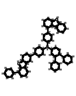 c1ccc(-c2ccc(N(c3ccc(-c4ccc5oc6c(-c7ccccc7)cccc6c5c4)cc3)c3ccc(-c4cccc5oc6ccccc6c45)cc3)cc2-c2ccccc2)cc1